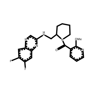 COc1ncccc1C(=O)N1CCCCC1CNc1cnc2cc(F)c(F)cc2n1